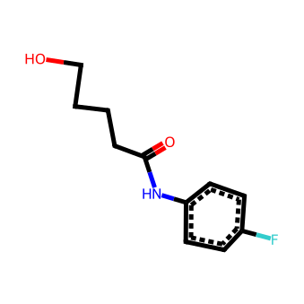 O=C(CCCCO)Nc1ccc(F)cc1